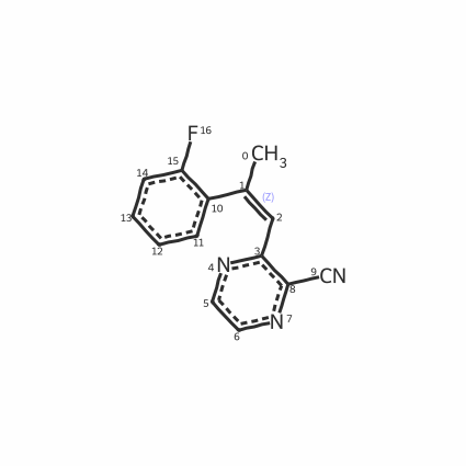 C/C(=C/c1nccnc1C#N)c1ccccc1F